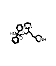 O=C(OCC(CCC1CCNCC1)c1ncccn1)C(O)(c1ccccc1)c1ccccc1